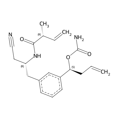 C=CC[C@H](OC(N)=O)c1cccc(C[C@H](CC#N)NC(=O)[C@H](C)C=C)c1